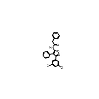 O=C(Cc1ccccc1)Nc1onc(-c2cc(Cl)cc(Cl)c2)c1-c1ccncc1